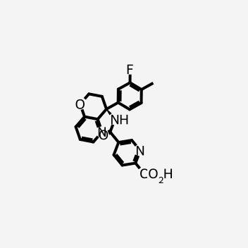 Cc1ccc([C@@]2(NC(=O)c3ccc(C(=O)O)nc3)CCOc3cccnc32)cc1F